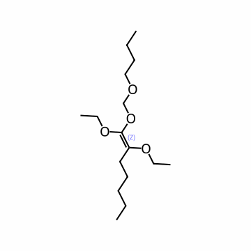 CCCCC/C(OCC)=C(\OCC)OCOCCCC